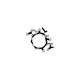 CC(=O)N[C@H]1CC(=O)NCCCC[C@@H](C(=O)O)NC(=O)[C@H](C(C)C)NC1=O